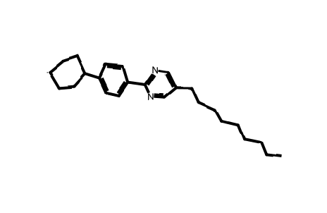 CCCCCCCCCc1cnc(-c2ccc(C3CC[CH]CC3)cc2)nc1